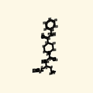 CCOC(=O)C(CC(C)C)NC(=O)N1CCC(C(=O)Nc2ccccc2)CC1